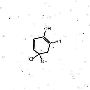 OC1=C(Cl)CC(O)(Cl)C=C1